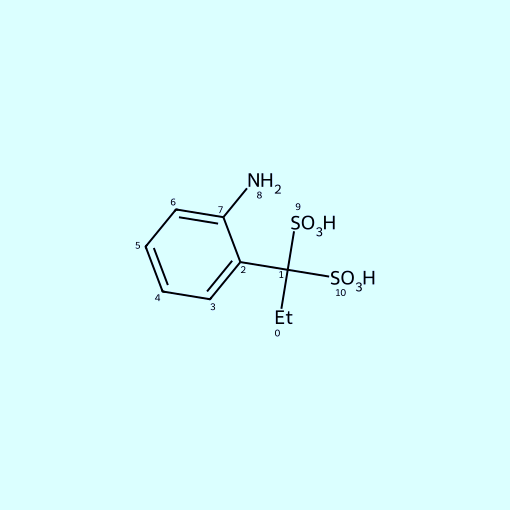 CCC(c1ccccc1N)(S(=O)(=O)O)S(=O)(=O)O